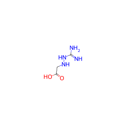 N=C(N)NNCC(=O)O